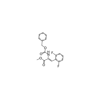 COC(=O)C(=Cc1c(F)cccc1F)NC(=O)OCc1ccccc1